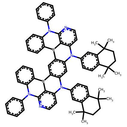 CC1(C)CCC(C)(C)c2cc(N3c4cc5c(cc4B4c6ccccc6N(c6ccccc6)c6nccc3c64)B3c4ccccc4N(c4ccccc4)c4nccc(c43)N5c3ccc4c(c3)C(C)(C)CCC4(C)C)ccc21